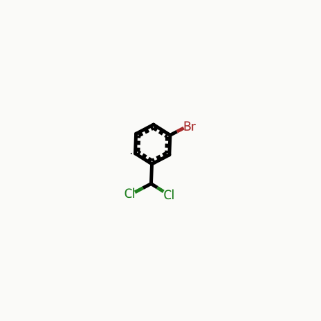 ClC(Cl)c1[c]ccc(Br)c1